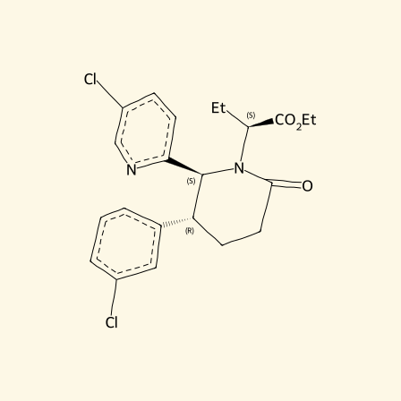 CCOC(=O)[C@H](CC)N1C(=O)CC[C@H](c2cccc(Cl)c2)[C@H]1c1ccc(Cl)cn1